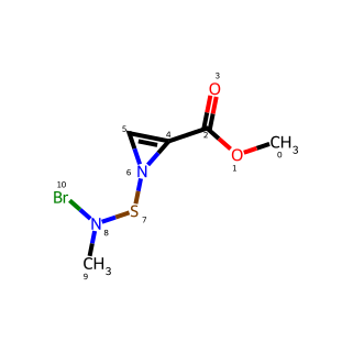 COC(=O)C1=CN1SN(C)Br